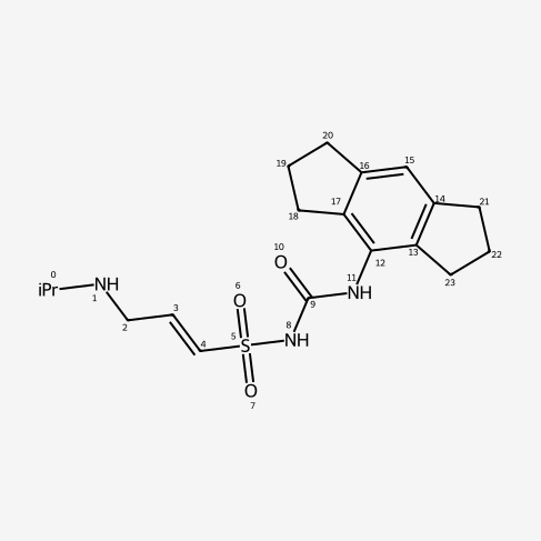 CC(C)NCC=CS(=O)(=O)NC(=O)Nc1c2c(cc3c1CCC3)CCC2